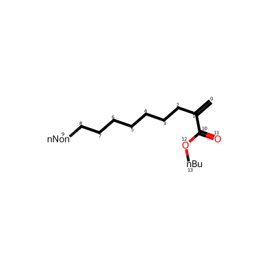 C=C(CCCCCCCCCCCCCCCC)C(=O)OCCCC